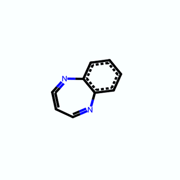 C1=CC=Nc2ccccc2N=1